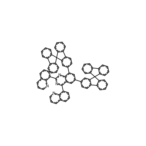 c1ccc2c(c1)-c1ccccc1C21c2ccccc2-c2ccc(-c3cc(-c4ccc5c(c4)C4(c6ccccc6-c6ccccc64)c4ccccc4-5)c4nc(-c5cccc6cccnc56)nc(-c5cccc6cccnc56)c4c3)cc21